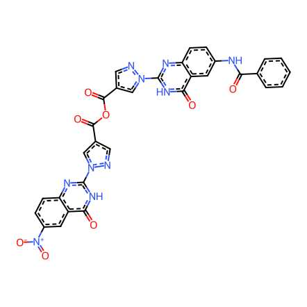 O=C(Nc1ccc2nc(-n3cc(C(=O)OC(=O)c4cnn(-c5nc6ccc([N+](=O)[O-])cc6c(=O)[nH]5)c4)cn3)[nH]c(=O)c2c1)c1ccccc1